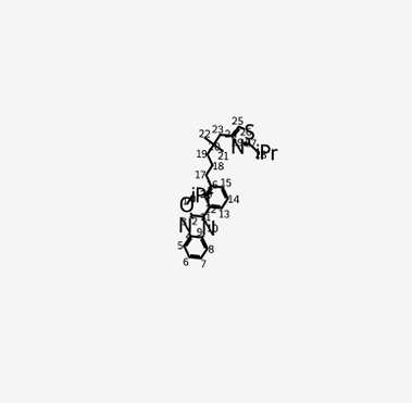 CC(C)Oc1nc2ccccc2nc1-c1cccc(CCCC(C)(C)Cc2csc(C(C)C)n2)c1